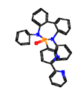 O=P1(c2ccc(-c3ccccn3)nc2)N(c2ccccc2)c2ccccc2-c2ccccc2N1c1ccccc1